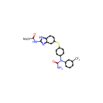 COC(=O)Nc1nc2cc(Sc3ccc(N(C(N)=O)c4cccc(C(F)(F)F)c4)cc3)ccc2[nH]1